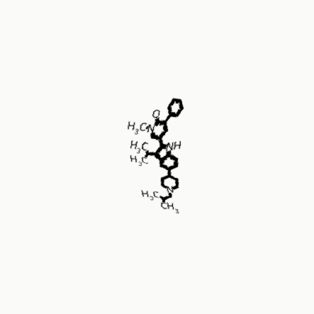 CC(C)CN1CCC(c2ccc3[nH]c(-c4cc(-c5ccccc5)c(=O)n(C)c4)c(C(C)C)c3c2)CC1